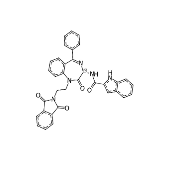 O=C(N[C@H]1N=C(c2ccccc2)c2ccccc2N(CCN2C(=O)c3ccccc3C2=O)C1=O)c1cc2ccccc2[nH]1